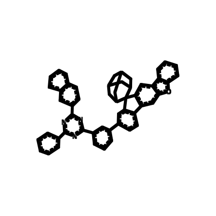 c1ccc(-c2nc(-c3cccc(-c4ccc5c(c4)C4(c6cc7c(cc6-5)oc5ccccc57)C5CC6CC(C5)CC4C6)c3)nc(-c3ccc4ccccc4c3)n2)cc1